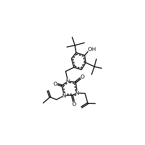 C=C(C)Cn1c(=O)n(CC(=C)C)c(=O)n(Cc2cc(C(C)(C)C)c(O)c(C(C)(C)C)c2)c1=O